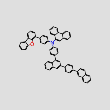 c1ccc2cc(-c3ccc(-c4cc(-c5ccc(N(c6ccc(-c7cccc8c7oc7ccccc78)cc6)c6cc7ccccc7c7ccccc67)cc5)c5ccccc5c4)cc3)ccc2c1